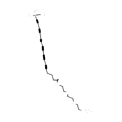 COCCOCCOCCOC(=O)CCCC#CC#CC#CC#CC#CC#C[Si](C(C)C)(C(C)C)C(C)C